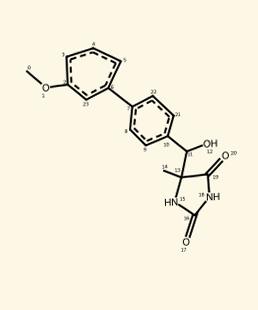 COc1cccc(-c2ccc(C(O)C3(C)NC(=O)NC3=O)cc2)c1